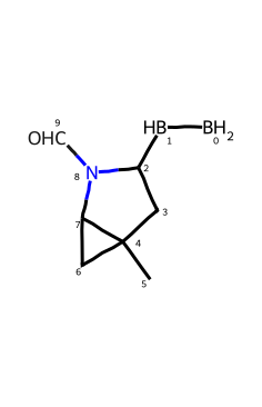 BBC1CC2(C)CC2N1C=O